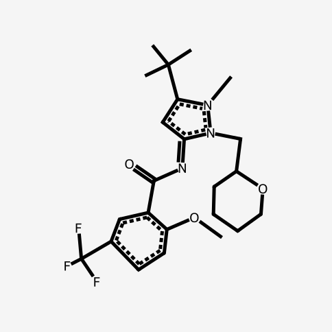 COc1ccc(C(F)(F)F)cc1C(=O)N=c1cc(C(C)(C)C)n(C)n1CC1CCCCO1